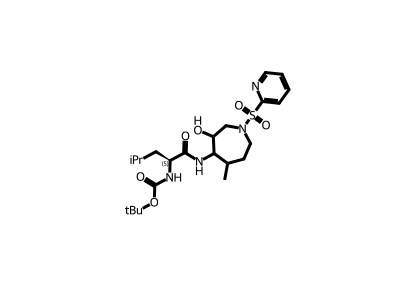 CC(C)C[C@H](NC(=O)OC(C)(C)C)C(=O)NC1C(C)CCN(S(=O)(=O)c2ccccn2)CC1O